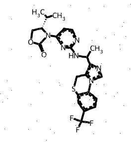 CC(Nc1nccc(N2C(=O)OC[C@@H]2C(C)C)n1)c1ncn2c1CSc1cc(C(F)(F)F)ccc1-2